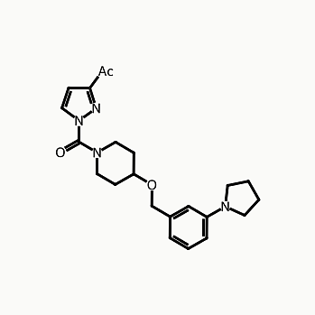 CC(=O)c1ccn(C(=O)N2CCC(OCc3cccc(N4CCCC4)c3)CC2)n1